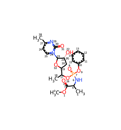 COC(=O)C(C)NP(=O)(Oc1ccccc1)OC(C)C1C[C@@H](O)C(n2ccc(C)nc2=O)O1